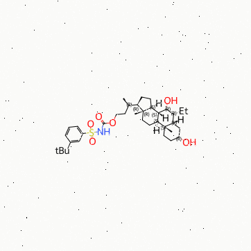 CC[C@H]1[C@@H](O)[C@@H]2[C@H](CC[C@]3(C)[C@@H]([C@H](C)CCOC(=O)NS(=O)(=O)c4cccc(C(C)(C)C)c4)CC[C@@H]23)[C@@]2(C)CC[C@@H](O)C[C@@H]12